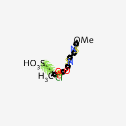 COc1ccc(-c2nc3cc(-c4ccc5sc(-c6ccc(Oc7ccc(S(=O)(=O)c8cc(C(F)(F)C(F)(F)C(F)(F)C(F)(F)C(F)(F)C(F)(F)S(=O)(=O)O)c(C)cc8Cl)cc7)cc6)nc5c4)ccc3s2)cc1